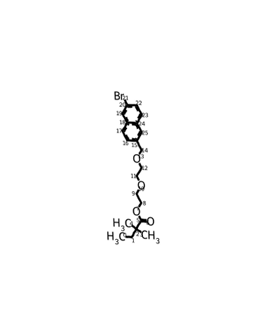 CCC(C)(C)C(=O)OCCOCCOCc1ccc2cc(Br)ccc2c1